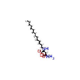 CCCCCCCCCCCCCCCN[C@@H](CC(N)=O)C(=O)O